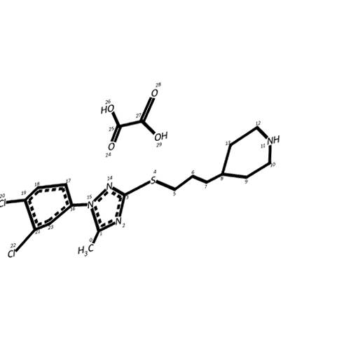 Cc1nc(SCCCC2CCNCC2)nn1-c1ccc(Cl)c(Cl)c1.O=C(O)C(=O)O